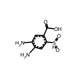 Nc1cc(C(=O)O)c([SH](=O)=O)cc1N